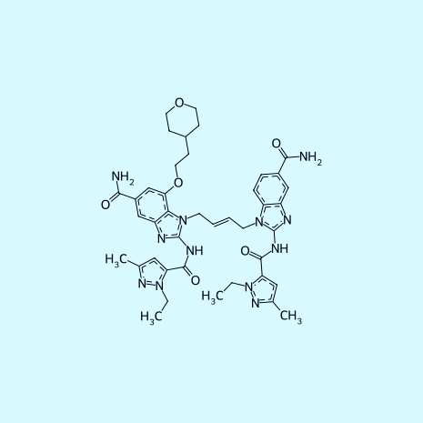 CCn1nc(C)cc1C(=O)Nc1nc2cc(C(N)=O)ccc2n1CC=CCn1c(NC(=O)c2cc(C)nn2CC)nc2cc(C(N)=O)cc(OCCC3CCOCC3)c21